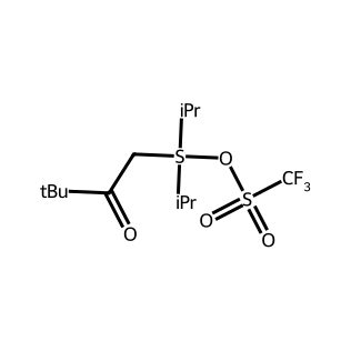 CC(C)S(CC(=O)C(C)(C)C)(OS(=O)(=O)C(F)(F)F)C(C)C